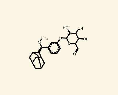 COC(=C1C2CC3CC(C2)CC1C3)c1cccc(OC2OC(C=O)C(O)C(O)C2O)c1